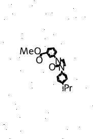 COC(=O)c1cccc(-n2ccn(-c3ccc(C(C)C)cc3)c2=O)c1